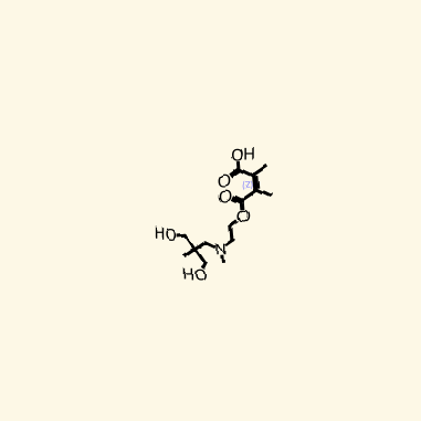 C/C(C(=O)O)=C(\C)C(=O)OCCN(C)CC(C)(CO)CO